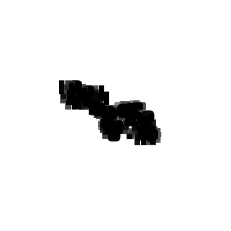 CCn1c(CNC(=O)c2nc3cc[nH]c3nc2N)[n+](CC)c2ccc(-c3cnn(C4CCN(C[C@H](O)[C@@H](O)[C@H](O)[C@H](O)CO)CC4)c3)cc21.O=C([O-])C(F)(F)F